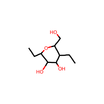 CCC1OC(CO)C(CC)C(O)C1O